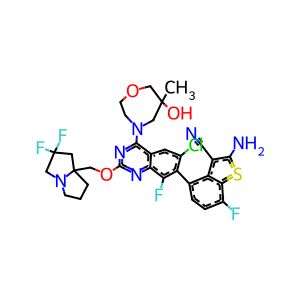 CC1(O)COCCN(c2nc(OCC34CCCN3CC(F)(F)C4)nc3c(F)c(-c4ccc(F)c5sc(N)c(C#N)c45)c(Cl)cc23)C1